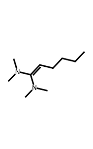 CCCCC=C(N(C)C)N(C)C